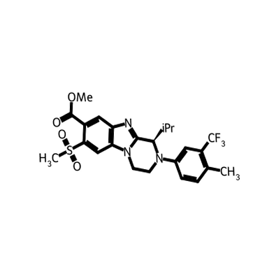 COC(=O)c1cc2nc3n(c2cc1S(C)(=O)=O)CCN(c1ccc(C)c(C(F)(F)F)c1)[C@@H]3C(C)C